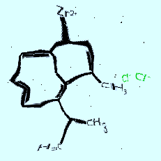 CC1=C[CH]([Zr+2])c2cccc(C(C)C)c21.[Cl-].[Cl-]